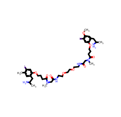 COc1cc(CC(C)N)c(OCCCC(=O)N(C)CC(=O)NCCOCCOCCNC(=O)CN(C)C(=O)CCCOc2cc(I)c(C)cc2CC(C)N)cc1I